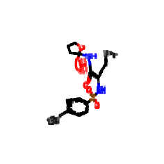 CC(C)CC(NS(=O)(=O)c1ccc(C(C)(C)C)cc1)C(=O)NC1(O)CCCO1